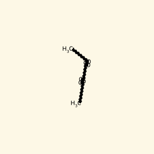 CCCCCCCCCCCCC(=O)OC(=O)CCCCCCCCC(=O)OC(=O)CCCCCCCCCCCC